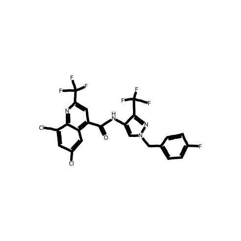 O=C(Nc1cn(Cc2ccc(F)cc2)nc1C(F)(F)F)c1cc(C(F)(F)F)nc2c(Cl)cc(Cl)cc12